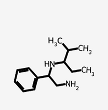 CCC(NC(CN)c1ccccc1)C(C)C